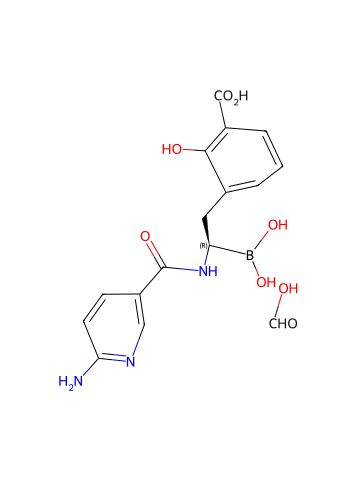 Nc1ccc(C(=O)N[C@@H](Cc2cccc(C(=O)O)c2O)B(O)O)cn1.O=CO